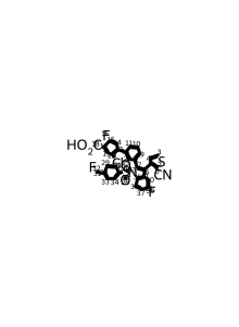 N#Cc1sccc1-c1c(-c2cccc(-c3cc(F)c(C(=O)O)cc3Cl)c2)n(S(=O)(=O)c2ccc(CF)cc2)c2ccc(F)cc12